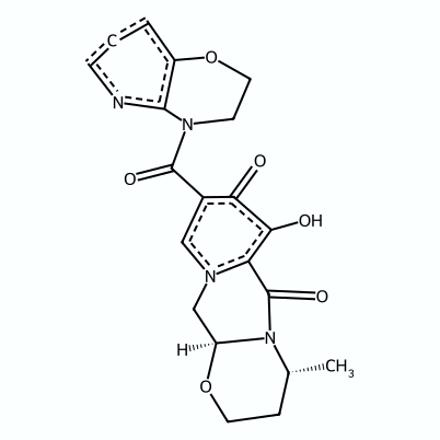 C[C@@H]1CCO[C@H]2Cn3cc(C(=O)N4CCOc5cccnc54)c(=O)c(O)c3C(=O)N12